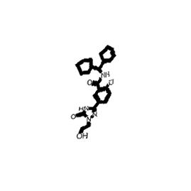 O=C(NC(c1ccccc1)C1CCCCC1)c1cc(-c2nn(CCO)c(=O)[nH]2)ccc1Cl